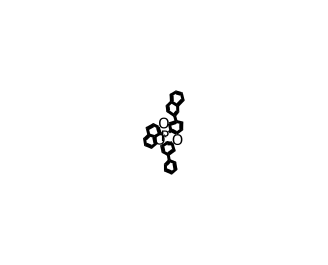 O=P12c3ccc(-c4ccccc4)cc3Oc3ccc(-c4ccc5ccccc5c4)c(c31)Oc1ccc3ccccc3c12